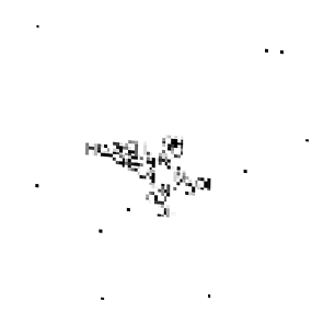 CS(=O)(=O)N(CC(O)CO)CC(O)CN1CCN(CC(=O)O)CCN(CC(=O)O)CCN(CC(=O)O)CC1